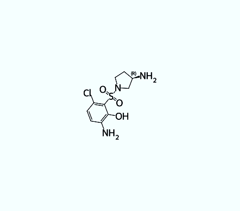 Nc1ccc(Cl)c(S(=O)(=O)N2CC[C@@H](N)C2)c1O